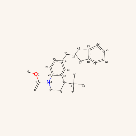 C=C(OC)N1CCC(C(C)(C)C)c2cc(CC3Cc4ccccc4C3)ccc21